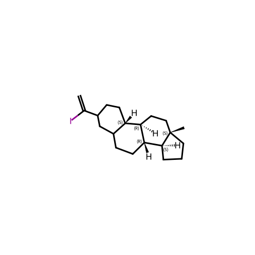 C=C(I)C1CC[C@H]2C(CC[C@@H]3[C@@H]2CC[C@]2(C)CCC[C@@H]32)C1